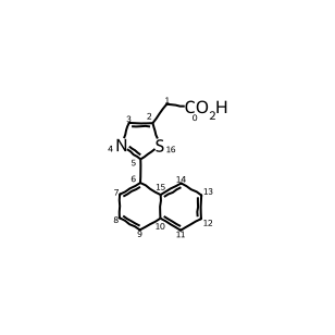 O=C(O)Cc1cnc(-c2cccc3ccccc23)s1